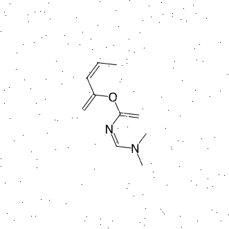 C=C(/C=C\C)OC(=C)/N=C\N(C)C